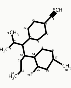 C#CC1CCC(C(C(C)C)C(CCC)C2CCC(C)CC2F)CC1